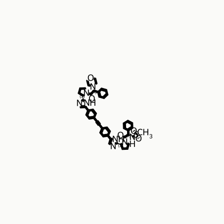 CS(=O)(=O)N[C@@H](C(=O)N1CCC[C@H]1c1ncc(-c2ccc(C#Cc3ccc(-c4cnc([C@@H]5CCCN5C(=O)[C@@H](c5ccccc5)N5CCOCC5)[nH]4)cc3)cc2)[nH]1)c1ccccc1